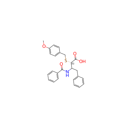 COc1ccc(CS[C@H](C(=O)O)C(Cc2ccccc2)NC(=O)c2ccccc2)cc1